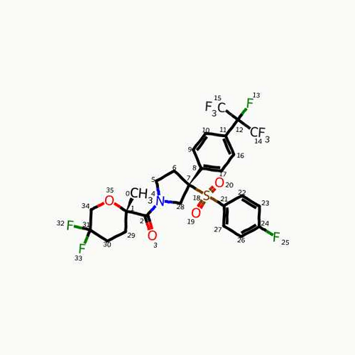 C[C@@]1(C(=O)N2CC[C@](c3ccc(C(F)(C(F)(F)F)C(F)(F)F)cc3)(S(=O)(=O)c3ccc(F)cc3)C2)CCC(F)(F)CO1